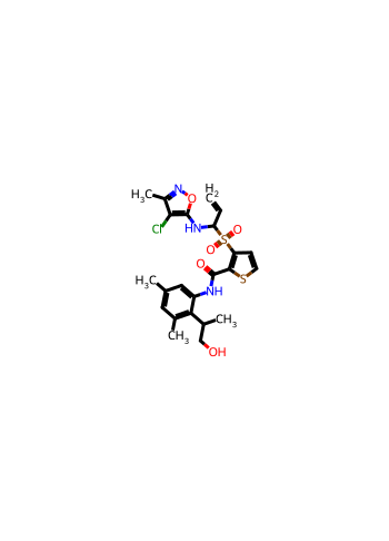 C=CC(Nc1onc(C)c1Cl)S(=O)(=O)c1ccsc1C(=O)Nc1cc(C)cc(C)c1C(C)CO